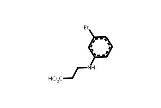 CCc1cccc(NCCC(=O)O)c1